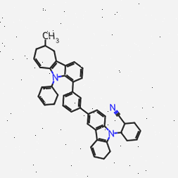 CC1CC=Cc2c(c3cccc(-c4cccc(-c5ccc6c(c5)c5c(n6C6CC=CCC6C#N)CCC=C5)c4)c3n2C2=CC=CCC2)C1